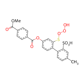 COC(=O)c1ccc(C(=O)Oc2ccc(-c3ccc(C)cc3S(=O)(=O)O)c(SOOO)c2)cc1